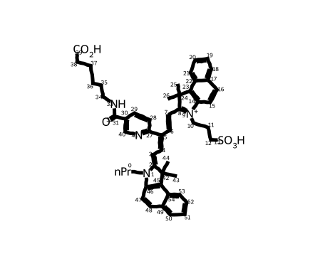 CCCN1/C(=C/C=C(/C=C/C2=[N+](CCCS(=O)(=O)O)c3ccc4ccccc4c3C2(C)C)c2ccc(C(=O)NCCCCCC(=O)O)cn2)C(C)(C)c2c1ccc1ccccc21